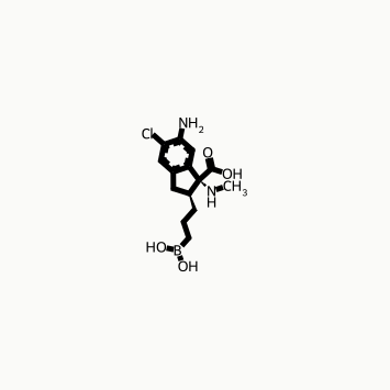 CN[C@@]1(C(=O)O)c2cc(N)c(Cl)cc2C[C@@H]1CCCB(O)O